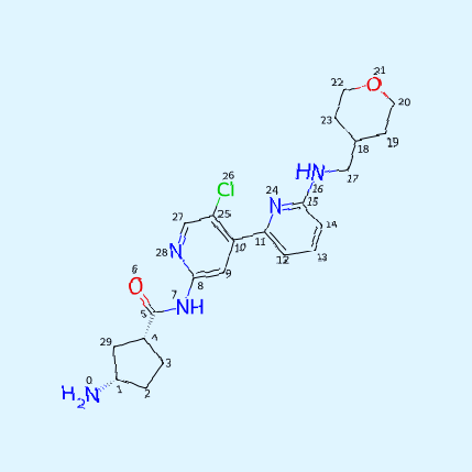 N[C@H]1CC[C@@H](C(=O)Nc2cc(-c3cccc(NCC4CCOCC4)n3)c(Cl)cn2)C1